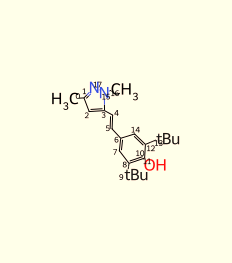 Cc1cc(C=Cc2cc(C(C)(C)C)c(O)c(C(C)(C)C)c2)n(C)n1